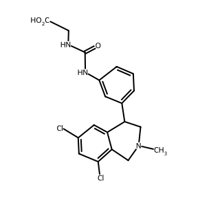 CN1Cc2c(Cl)cc(Cl)cc2C(c2cccc(NC(=O)NCC(=O)O)c2)C1